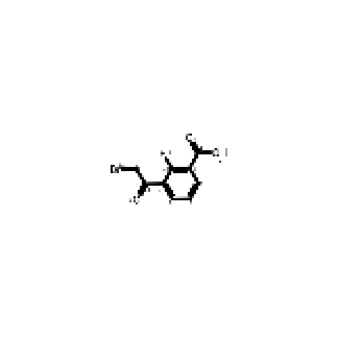 O=C(O)c1cccc(C(=O)CBr)c1F